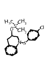 C[Si](C)(C)OC1Cc2ccccc2N(Sc2ccc(Cl)cc2)C1